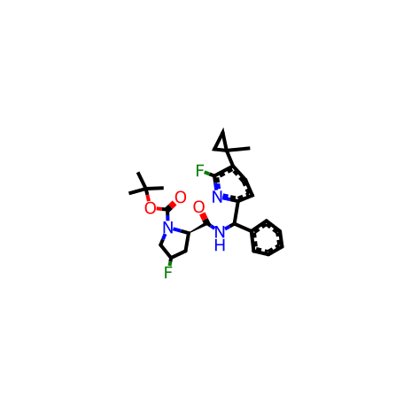 CC(C)(C)OC(=O)N1CC(F)C[C@@H]1C(=O)NC(c1ccccc1)c1ccc(C2(C)CC2)c(F)n1